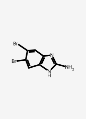 Nc1nc2cc(Br)c(Br)cc2[nH]1